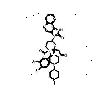 CN1CCC(N2CCN(C3(CC=O)CC(n4c(=O)[nH]c5c6ccccc6ncc54)CC[N@+]3(Cc3ccc(Br)c(Br)c3)C(=O)[O-])CC2)CC1